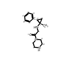 C[C@]1(NCC(=O)N2CCNCC2)C[C@H]1c1ccccc1